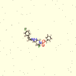 O=C(OCc1ccccc1)N1CCC(CN[C@@H]2C[C@H]2c2ccc(F)cc2)CC1F